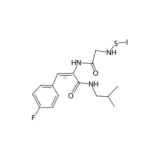 CC(C)CNC(=O)/C(=C\c1ccc(F)cc1)NC(=O)CNSI